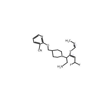 C/N=C\S/C(=C/C(F)F)C(CN)N1CCC(COc2ncccc2C#N)CC1